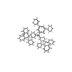 c1ccc(-c2cc(-c3ccccc3)cc(N(c3ccc(-c4c(-c5ccccc5)c5ccccc5c5ccccc45)cc3)c3ccc(-c4c(-c5ccccc5)c5ccccc5c5ccccc45)cc3)c2)cc1